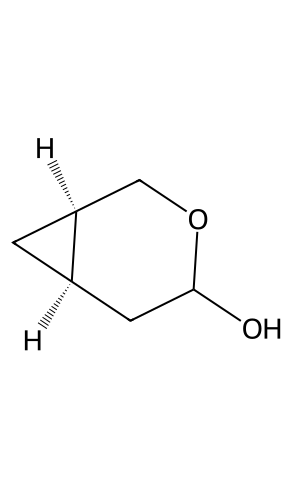 OC1C[C@H]2C[C@H]2CO1